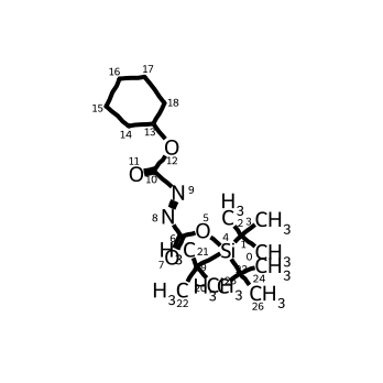 CC(C)(C)[Si](OC(=O)N=NC(=O)OC1CCCCC1)(C(C)(C)C)C(C)(C)C